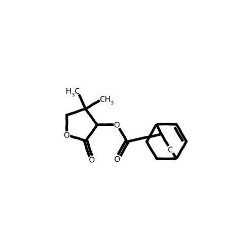 CC1(C)COC(=O)C1OC(=O)C1CC2C=CC1CC2